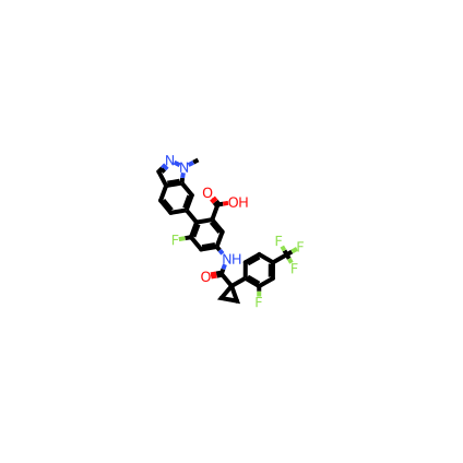 Cn1ncc2ccc(-c3c(F)cc(NC(=O)C4(c5ccc(C(F)(F)F)cc5F)CC4)cc3C(=O)O)cc21